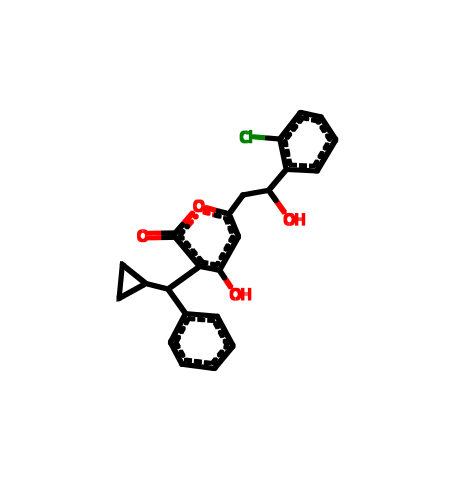 O=c1oc(CC(O)c2ccccc2Cl)cc(O)c1C(c1ccccc1)C1CC1